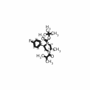 CC(C)C(=O)N1C[C@@H](c2ccc(F)cc2)N(C(=O)OC(C)(C)C)C[C@@H]1C